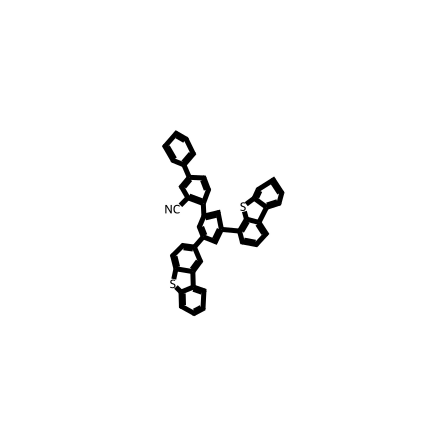 N#Cc1cc(-c2ccccc2)ccc1-c1cc(-c2ccc3sc4ccccc4c3c2)cc(-c2cccc3c2sc2ccccc23)c1